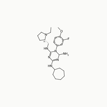 CCN1CCC[C@H]1CNC1=NC(NC2CCCCCC2)=NC(N)N1c1ccc(OC)c(F)c1